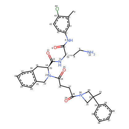 Cc1cc(NC(=O)[C@H](CCN)NC(=O)[C@@H]2Cc3ccccc3CN2C(=O)CCC(=O)N2CC(C)(c3ccccc3)C2)ccc1Cl